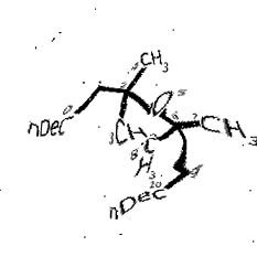 CCCCCCCCCCCC(C)(C)OC(C)(C)CCCCCCCCCCC